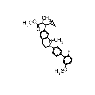 COC(=O)[C@@H](C)[C@H](c1ccc2c(c1)N(C)[C@@H](c1ccc(-c3cc(OC)ccc3F)cc1)CC2)C1CC1